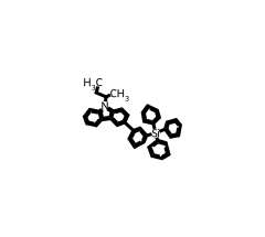 CCC(C)n1c2ccccc2c2cc(-c3cccc([Si](c4ccccc4)(c4ccccc4)c4ccccc4)c3)ccc21